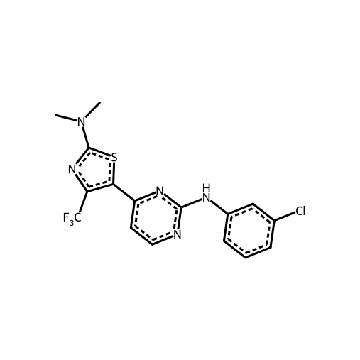 CN(C)c1nc(C(F)(F)F)c(-c2ccnc(Nc3cccc(Cl)c3)n2)s1